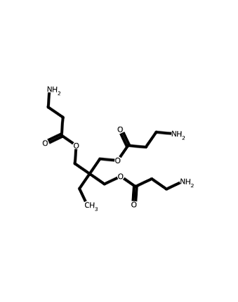 CCC(COC(=O)CCN)(COC(=O)CCN)COC(=O)CCN